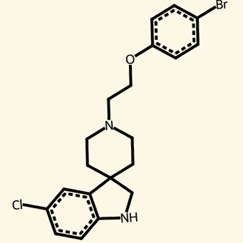 Clc1ccc2c(c1)C1(CCN(CCOc3ccc(Br)cc3)CC1)CN2